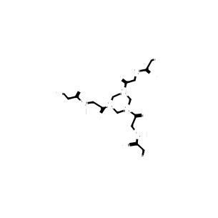 O=C(CCl)NCC(=O)N1CN(C(=O)CNC(=O)CCl)CN(C(=O)CNC(=O)CCl)C1